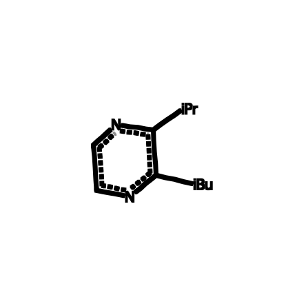 CCC(C)c1nccnc1C(C)C